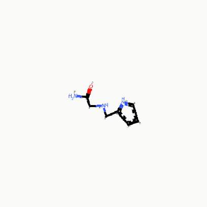 NC(=O)CNCc1ccc[nH]1